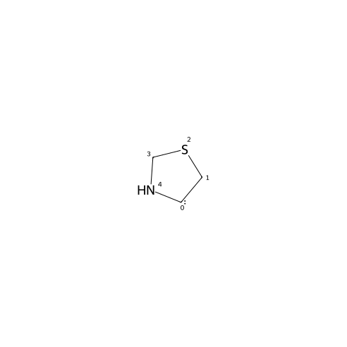 [C]1CSCN1